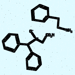 NCCc1ccccc1.O=C(O)C[S+]([O-])C(c1ccccc1)c1ccccc1